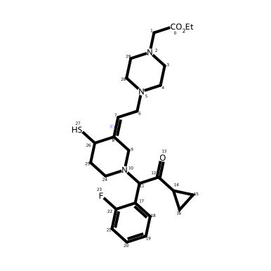 CCOC(=O)CN1CCN(C/C=C2\CN(C(C(=O)C3CC3)c3ccccc3F)CCC2S)CC1